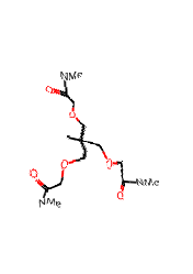 CNC(=O)COCC(C)(COCC(=O)NC)COCC(=O)NC